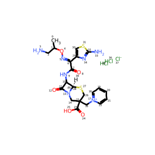 CC(CN)ON=C(C(=O)NC1C(=O)N2CC(C[n+]3ccccc3)(C(=O)O)CS[C@H]12)c1csc(N)n1.Cl.Cl.[Cl-]